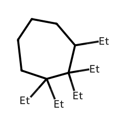 CCC1CCCCC(CC)(CC)C1(CC)CC